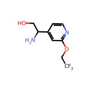 NC(CO)c1ccnc(OCC(F)(F)F)c1